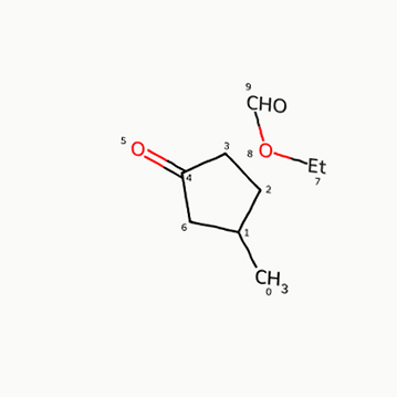 CC1CCC(=O)C1.CCOC=O